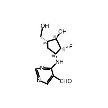 O=Cc1cncnc1N[C@@H]1C[C@H](CO)[C@@H](O)[C@@H]1F